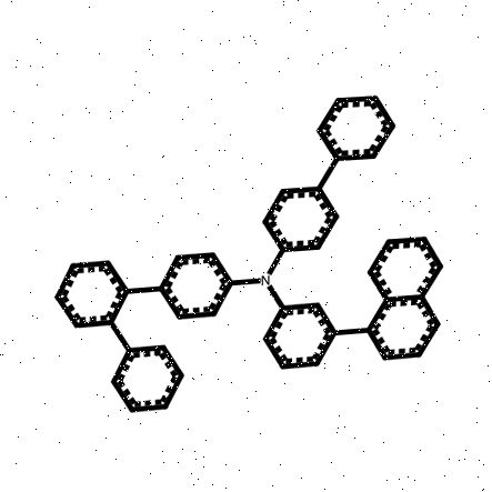 c1ccc(-c2ccc(N(c3ccc(-c4ccccc4-c4ccccc4)cc3)c3cccc(-c4cccc5ccccc45)c3)cc2)cc1